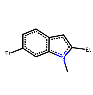 CCc1ccc2cc(CC)n(C)c2c1